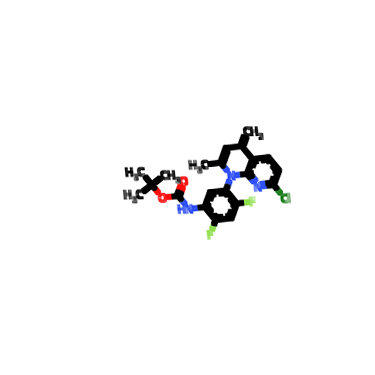 C=C1C=C(C)N(c2cc(NC(=O)OC(C)(C)C)c(F)cc2F)c2nc(Cl)ccc21